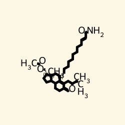 CC(=O)OC[C@H]1CCC2C3CCC4=COC(C(C)C)CC4=C3[C@@H](CCCCCCCCCC=CC(N)=O)C[C@@]21C